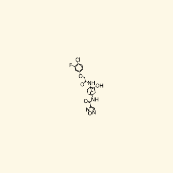 O=C(COc1ccc(Cl)c(F)c1)NC12CCC(NC(=O)c3cnon3)(CC1)CC2O